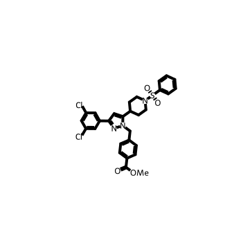 COC(=O)c1ccc(Cn2nc(-c3cc(Cl)cc(Cl)c3)cc2C2CCN(S(=O)(=O)c3ccccc3)CC2)cc1